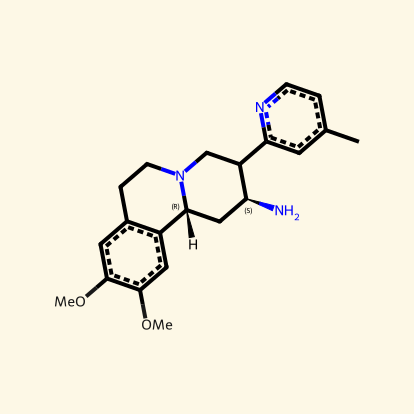 COc1cc2c(cc1OC)[C@H]1C[C@H](N)C(c3cc(C)ccn3)CN1CC2